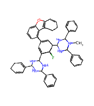 CN1C(c2ccccc2)NC(C2C=C(c3cccc4oc5c(c34)CCC=C5)C=C(C3NC(C4=CCCC=C4)NC(c4ccccc4)N3)C2F)NC1c1ccccc1